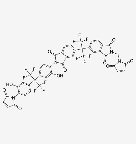 O=C1C=CC(=O)N1CN1C(=O)c2ccc(C(c3ccc4c(c3)C(=O)N(c3ccc(C(c5ccc(N6C(=O)C=CC6=O)c(O)c5)(C(F)(F)F)C(F)(F)F)cc3O)C4=O)(C(F)(F)F)C(F)(F)F)cc2C1=O